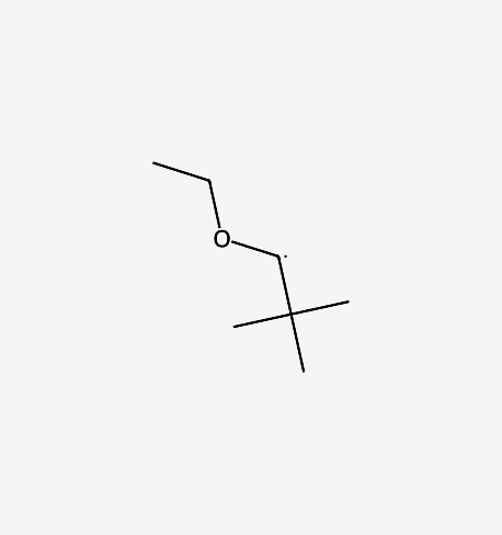 CCO[CH]C(C)(C)C